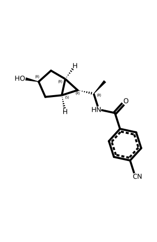 C[C@@H](NC(=O)c1ccc(C#N)cc1)[C@H]1[C@@H]2C[C@H](O)C[C@@H]21